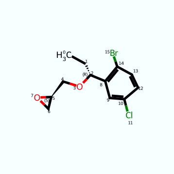 CC[C@@H](OC[C@H]1CO1)c1cc(Cl)ccc1Br